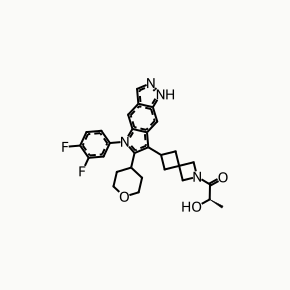 C[C@@H](O)C(=O)N1CC2(CC(c3c(C4CCOCC4)n(-c4ccc(F)c(F)c4)c4cc5cn[nH]c5cc34)C2)C1